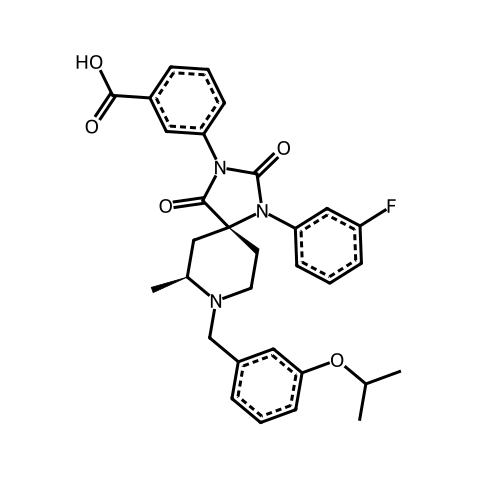 CC(C)Oc1cccc(CN2CC[C@@]3(C[C@@H]2C)C(=O)N(c2cccc(C(=O)O)c2)C(=O)N3c2cccc(F)c2)c1